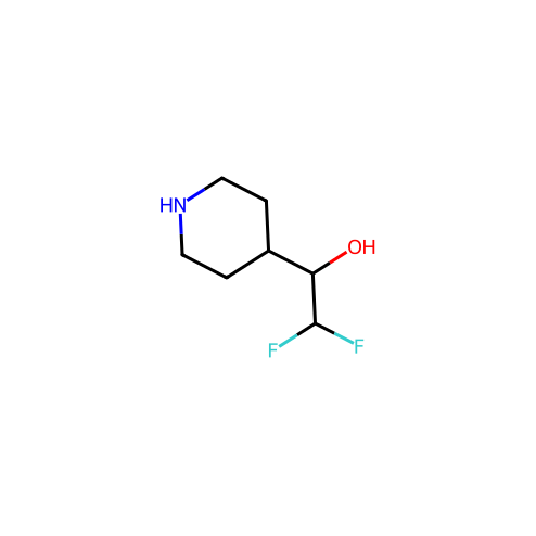 OC(C(F)F)C1CCNCC1